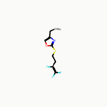 COCc1coc(SCCC(F)=C(F)F)n1